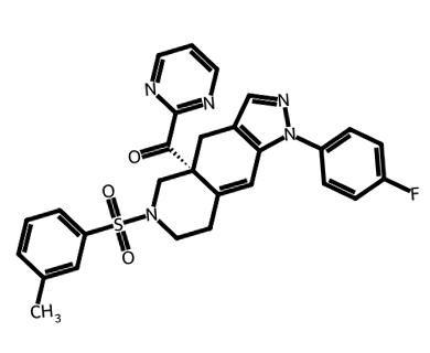 Cc1cccc(S(=O)(=O)N2CCC3=Cc4c(cnn4-c4ccc(F)cc4)C[C@]3(C(=O)c3ncccn3)C2)c1